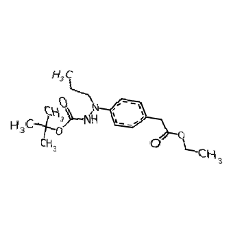 CCCN(NC(=O)OC(C)(C)C)c1ccc(CC(=O)OCC)cc1